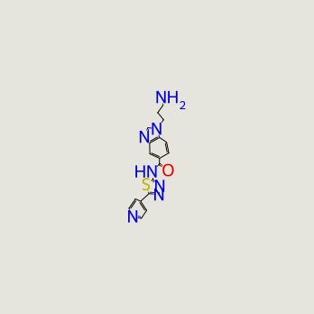 NCCCn1cnc2cc(C(=O)Nc3nnc(-c4ccncc4)s3)ccc21